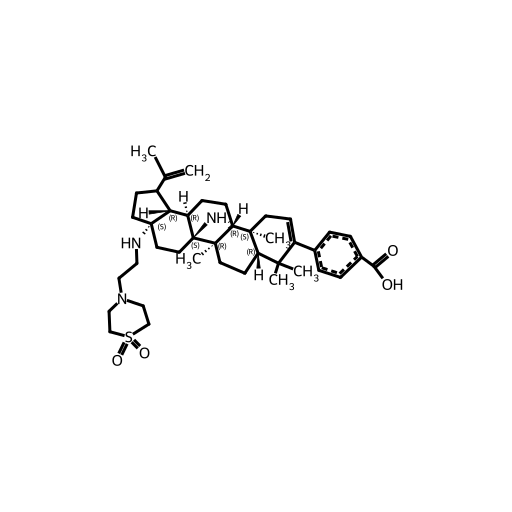 C=C(C)C1CC[C@]2(NCCN3CCS(=O)(=O)CC3)CC[C@]3(N)[C@H](CC[C@@H]4[C@@]5(C)CC=C(c6ccc(C(=O)O)cc6)C(C)(C)[C@@H]5CC[C@]43C)[C@@H]12